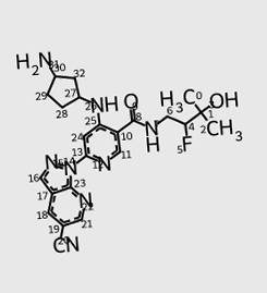 CC(C)(O)C(F)CNC(=O)c1cnc(-n2ncc3cc(C#N)cnc32)cc1NC1CCC(N)C1